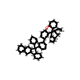 c1ccc(C2(c3cccc(-c4ccc5c(c4)C4(c6ccccc6O5)c5ccccc5-c5ccccc54)c3)c3ccccc3-c3cc4ccccc4cc32)cc1